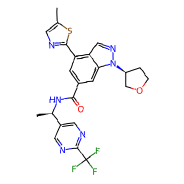 Cc1cnc(-c2cc(C(=O)N[C@H](C)c3cnc(C(F)(F)F)nc3)cc3c2cnn3[C@H]2CCOC2)s1